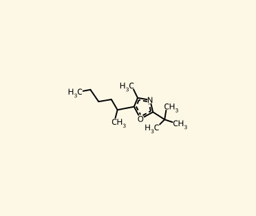 CCCCC(C)c1oc(C(C)(C)C)nc1C